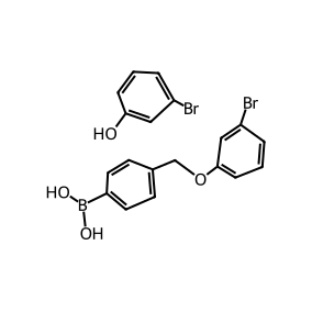 OB(O)c1ccc(COc2cccc(Br)c2)cc1.Oc1cccc(Br)c1